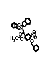 CC(=O)O[C@@H](CN(Cc1ccccc1)C1(C)Cc2ccccc2C1)c1ccc(OCc2ccccc2)c([N+](=O)[O-])c1